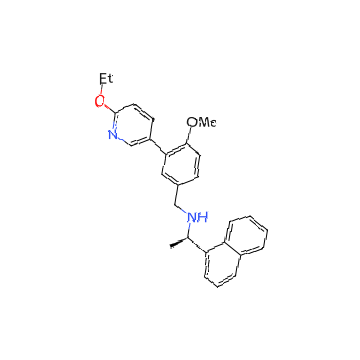 CCOc1ccc(-c2cc(CN[C@H](C)c3cccc4ccccc34)ccc2OC)cn1